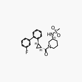 CS(=O)(=O)N[C@H]1CCCN(C(=O)[C@@H]2C[C@H]2c2ccccc2-c2cccc(F)c2)C1